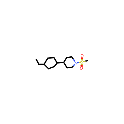 CCC1CCC(C2CCN(S(C)(=O)=O)CC2)CC1